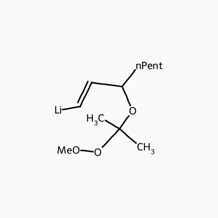 [Li][CH]=CC(CCCCC)OC(C)(C)OOC